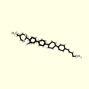 CCCCCC1CCC(C2CCC(c3ccc(-c4ccc(C5OCC(CC)CO5)c(F)c4)cc3)CC2)CC1